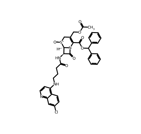 CC(=O)OCC1=C(C(=O)OC(c2ccccc2)c2ccccc2)N2C(=O)[C@@H](NC(=O)CCCNc3ccnc4cc(Cl)ccc34)[C@H]2[S+]([O-])C1